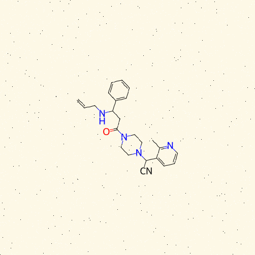 C=CCNC(CC(=O)N1CCN(C(C#N)c2cccnc2C)CC1)c1ccccc1